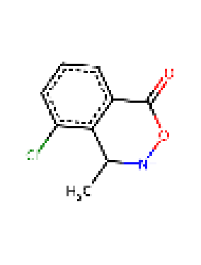 CC1NOC(=O)c2cccc(Cl)c21